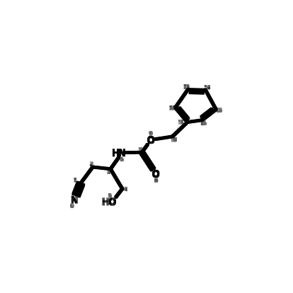 N#CCC(CO)NC(=O)OCc1ccccc1